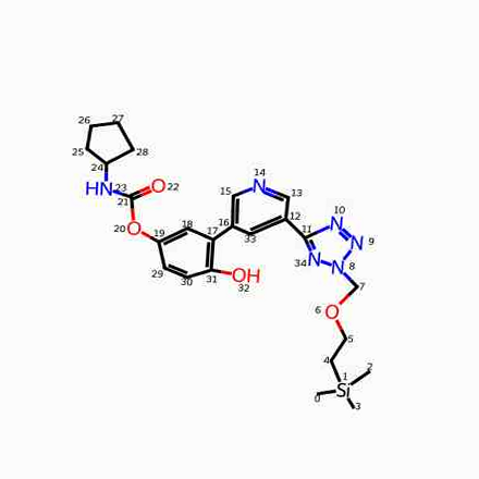 C[Si](C)(C)CCOCn1nnc(-c2cncc(-c3cc(OC(=O)NC4CCCC4)ccc3O)c2)n1